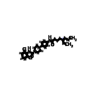 C=C/C(=C\N=C)CCCC(=O)Nc1ccc(N2CCN(C(=O)Nc3c(Cl)cccc3Cl)CC2)cc1